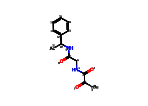 CCCCC(=O)C(=O)NCC(=O)NC(C(C)=O)c1ccccc1